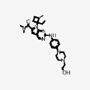 CCC1(n2c(C(=O)N(C)C)cc3cnc(Nc4ccc(N5CCN(CCO)CC5)cc4)nc32)CC[C@H]1C